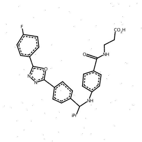 CC(C)C(Nc1ccc(C(=O)NCCC(=O)O)cc1)c1ccc(-c2nnc(-c3ccc(F)cc3)o2)cc1